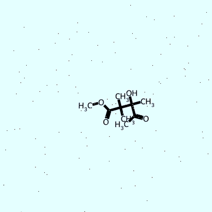 COC(=O)C(C)(C)C(C)(O)C(C)=O